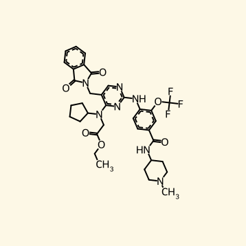 CCOC(=O)CN(c1nc(Nc2ccc(C(=O)NC3CCN(C)CC3)cc2OC(F)(F)F)ncc1CN1C(=O)c2ccccc2C1=O)C1CCCC1